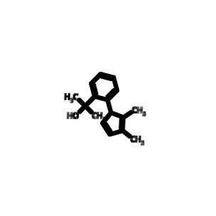 CC1=C(C)C(c2ccccc2C(C)(C)O)C=C1